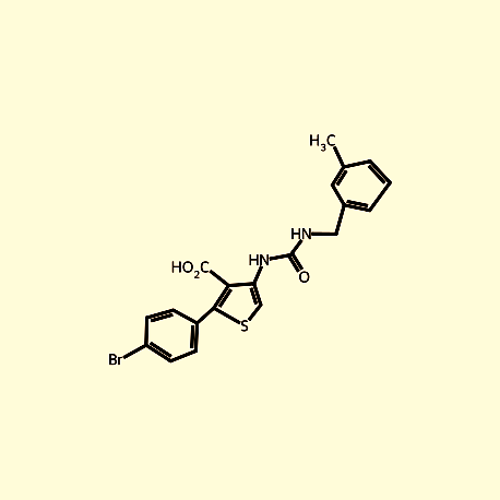 Cc1cccc(CNC(=O)Nc2csc(-c3ccc(Br)cc3)c2C(=O)O)c1